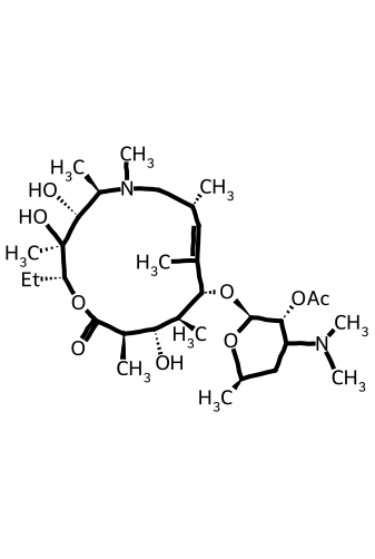 CC[C@H]1OC(=O)[C@H](C)[C@@H](O)[C@H](C)[C@@H](O[C@@H]2O[C@H](C)CC(N(C)C)[C@H]2OC(C)=O)/C(C)=C/[C@@H](C)CN(C)[C@H](C)[C@@H](O)[C@]1(C)O